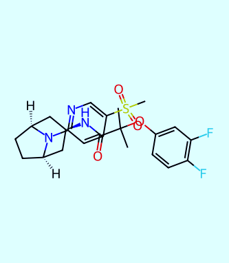 CC(C)(Oc1ccc(F)c(F)c1)C(=O)N[C@H]1C[C@H]2CC[C@@H](C1)N2c1ccc(S(C)(=O)=O)cn1